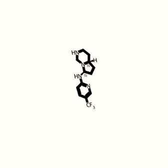 FC(F)(F)c1ccc(N[C@@H]2CC[C@H]3CCNCN32)nc1